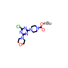 CCCCOC(=O)N1CCN(c2nc(Cl)nc(N3CCOCC3)n2)CC1